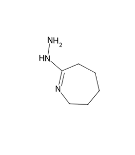 NNC1=NCCCCC1